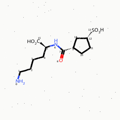 NCCCC[C@H](NC(=O)[C@H]1CC[C@@H](S(=O)(=O)O)C1)C(=O)O